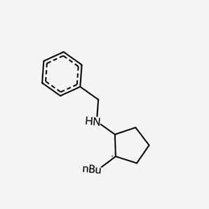 CCCC[C]1CCCC1NCc1ccccc1